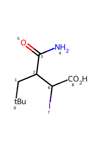 CC(C)(C)CC(C(N)=O)C(I)C(=O)O